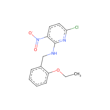 CCOc1ccccc1CNc1nc(Cl)ccc1[N+](=O)[O-]